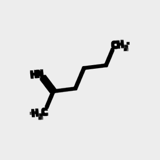 [CH2]CCCC([CH2])=N